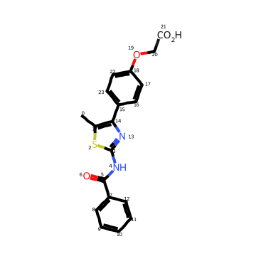 Cc1sc(NC(=O)c2ccccc2)nc1-c1ccc(OCC(=O)O)cc1